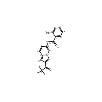 CC(C)(C)C(=O)c1cn2cc(NC(=O)c3ccccc3O)ccc2n1